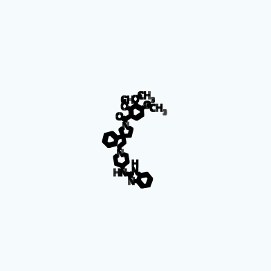 COc1ccc(C(=O)N2CCC(CCN3CCC(Nc4nc5ccccc5[nH]4)CC3)(c3ccccc3)C2)c(OC)c1OC